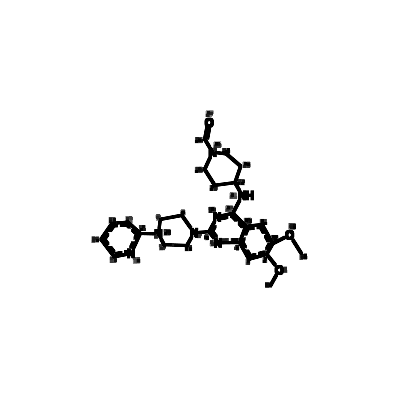 COc1cc2nc(N3CCN(c4ccccn4)CC3)nc(NC3CCN(C=O)CC3)c2cc1OC